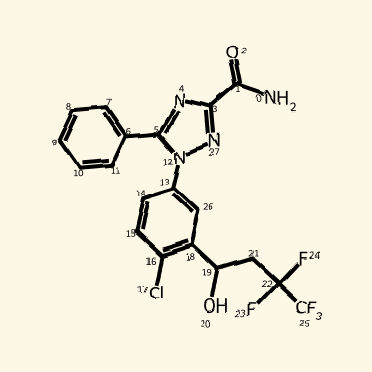 NC(=O)c1nc(-c2ccccc2)n(-c2ccc(Cl)c(C(O)CC(F)(F)C(F)(F)F)c2)n1